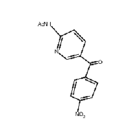 CC(=O)Nc1ccc(C(=O)c2ccc([N+](=O)[O-])cc2)cn1